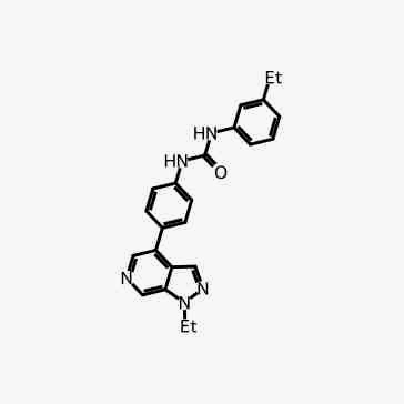 CCc1cccc(NC(=O)Nc2ccc(-c3cncc4c3cnn4CC)cc2)c1